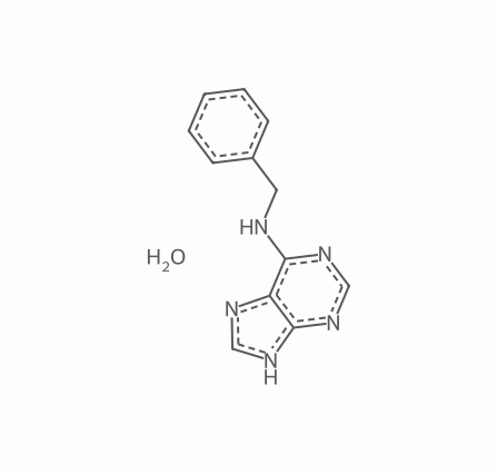 O.c1ccc(CNc2ncnc3[nH]cnc23)cc1